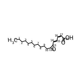 CCCCCCCCCCCC1OC1C=C/C=C\C(=O)O